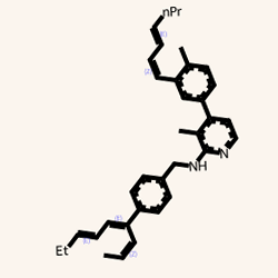 C\C=C/C(=C\C=C\CC)c1ccc(CNc2nccc(-c3ccc(C)c(/C=C\C=C\CCC)c3)c2C)cc1